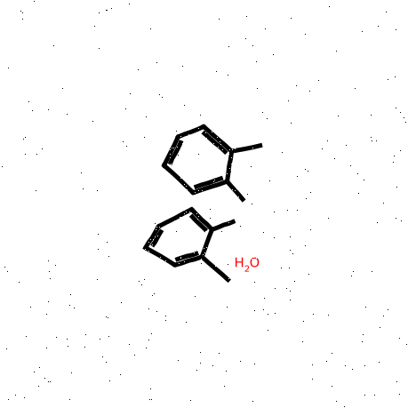 Cc1ccccc1C.Cc1ccccc1C.O